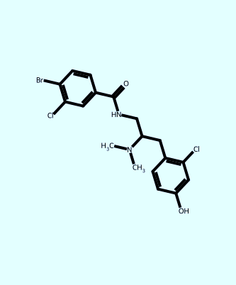 CN(C)C(CNC(=O)c1ccc(Br)c(Cl)c1)Cc1ccc(O)cc1Cl